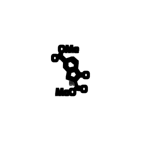 COC(=O)c1ccc2c(c1)C[C@H](C(=O)OC)C2=O